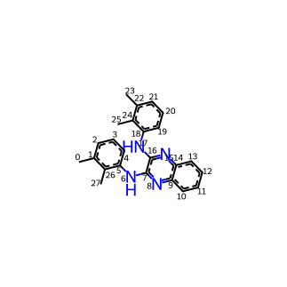 Cc1cccc(Nc2nc3ccccc3nc2Nc2cccc(C)c2C)c1C